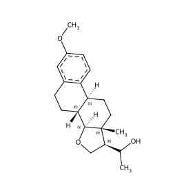 COc1ccc2c(c1)CC[C@@H]1[C@@H]2CC[C@]2(C)[C@@H](C(C)O)CO[C@@H]12